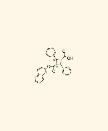 O=C(O)C1C(c2ccccc2)[C@@H](C(=O)Oc2ccc3ccccc3c2)[C@H]1c1ccccc1